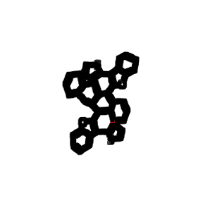 c1csc(-c2c(-c3c4ccccc4c(-c4oc5ccccc5c4-c4cccs4)c4cc5ccccc5cc34)oc3ccccc23)c1